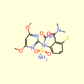 COc1cc(OC)nc([N+](C(N)=O)(c2cccc(F)c2C(=O)N(C)C)S(N)(=O)=O)n1